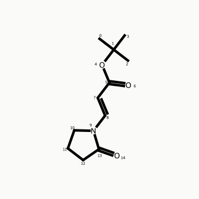 CC(C)(C)OC(=O)C=CN1CCCC1=O